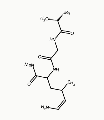 CC[C@H](C)[C@@H](C)C(=O)NCC(=O)NC(CC(C)/C=C\N)C(=O)NC